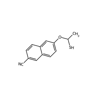 CC(S)Oc1ccc2cc(C#N)ccc2c1